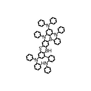 B1c2cc3c(cc2Sc2cc(N(c4ccccc4)c4ccccc4)cc(-c4ccccc4Nc4ccccc4)c21)N(c1ccccc1)c1cc(N(c2ccccc2)c2ccccc2)cc2c1B3c1ccccc1N2c1ccccc1